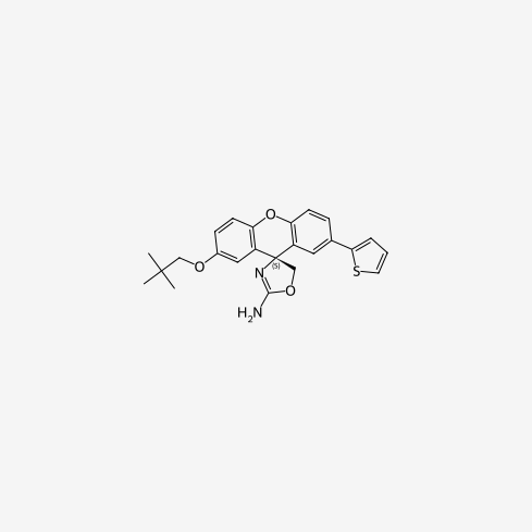 CC(C)(C)COc1ccc2c(c1)[C@]1(COC(N)=N1)c1cc(-c3cccs3)ccc1O2